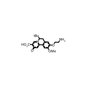 COc1cc2c(cc1OCCN)CC(C(C)(C)C)n1cc(C(=O)O)c(=O)cc1-2